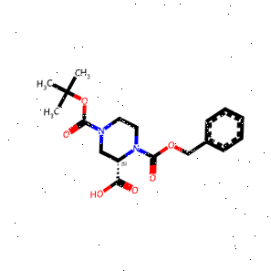 CC(C)(C)OC(=O)N1CCN(C(=O)OCc2ccccc2)[C@H](C(=O)O)C1